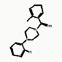 CC1=CCCC=C1C(=N)N1CCN(c2ccccc2Cl)CC1